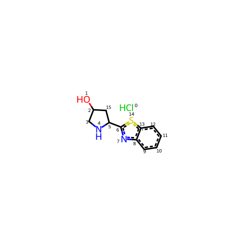 Cl.OC1CNC(c2nc3ccccc3s2)C1